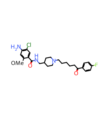 COc1cc(N)c(Cl)cc1C(=O)NCC1CCN(CCCCCC(=O)c2ccc(F)cc2)CC1